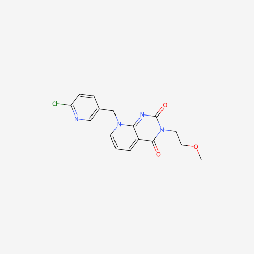 COCCn1c(=O)nc2n(Cc3ccc(Cl)nc3)cccc-2c1=O